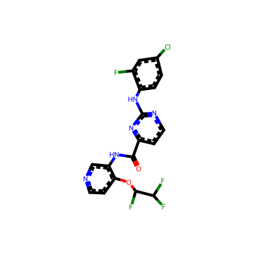 O=C(Nc1cnccc1OC(F)C(F)F)c1ccnc(Nc2ccc(Cl)cc2F)n1